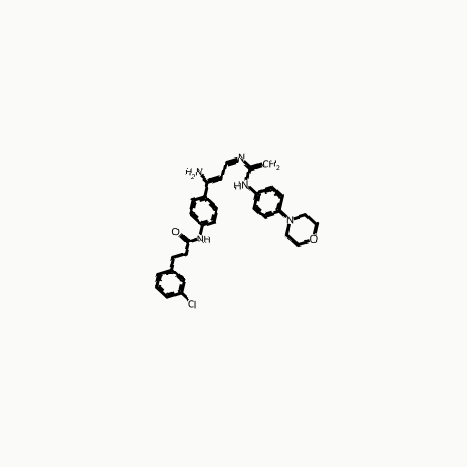 C=C(/N=C\C=C(/N)c1ccc(NC(=O)CCc2cccc(Cl)c2)cc1)Nc1ccc(N2CCOCC2)cc1